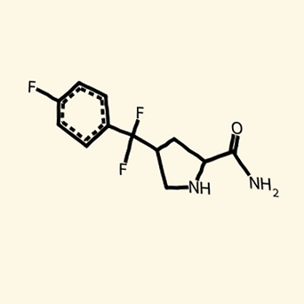 NC(=O)C1CC(C(F)(F)c2ccc(F)cc2)CN1